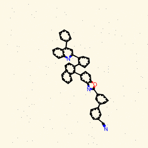 N#Cc1cccc(-c2cccc(-c3nc4cc(-c5c(-c6ccccc6-c6cc(-c7ccccc7)c7ccccc7n6)ccc6ccccc56)ccc4o3)c2)c1